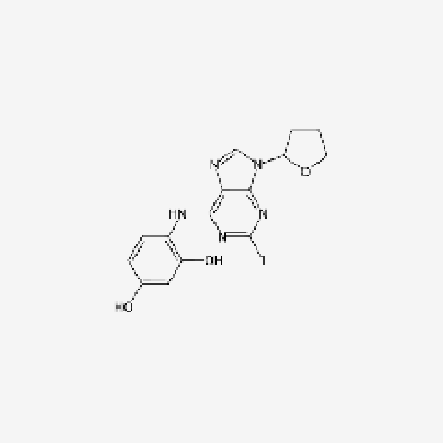 Oc1ccc(Nc2nc(I)nc3c2ncn3C2CCCO2)c(O)c1